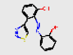 Oc1ccccc1N=Nc1c(O)cccc1-c1csnn1